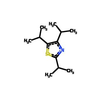 CC(C)c1nc(C(C)C)c(C(C)C)s1